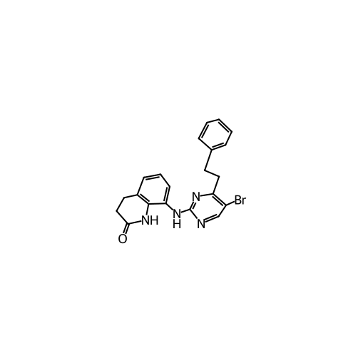 O=C1CCc2cccc(Nc3ncc(Br)c(CCc4ccccc4)n3)c2N1